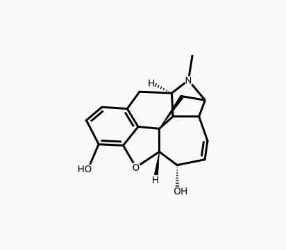 CN1C2C[C@]34c5c6ccc(O)c5O[C@H]3[C@@H](O)C=CC2C4[C@H]1C6